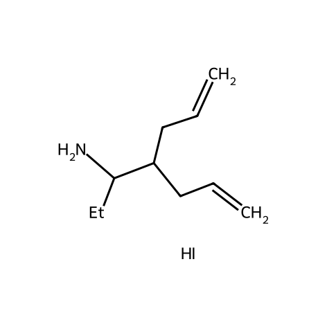 C=CCC(CC=C)C(N)CC.I